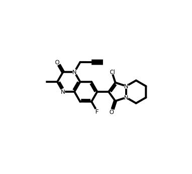 C#CCn1c(=O)c(C)nc2cc(F)c(-c3c(Cl)n4n(c3=O)CCCC4)cc21